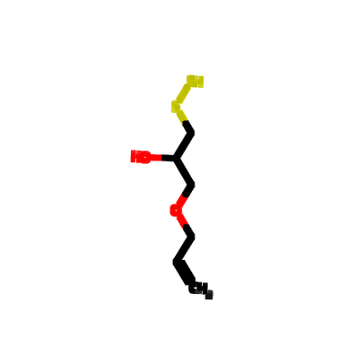 C=CCOCC(O)CSS